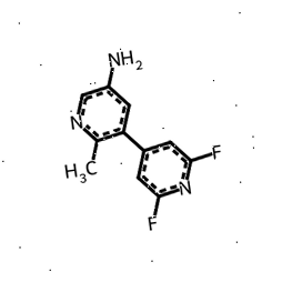 Cc1ncc(N)cc1-c1cc(F)nc(F)c1